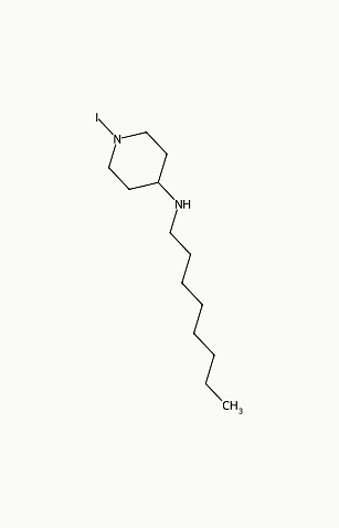 CCCCCCCCNC1CCN(I)CC1